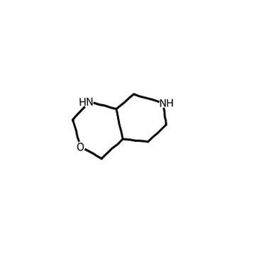 C1CC2COCNC2CN1